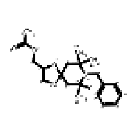 CC(=O)OCC1COC2(CC(C)(C)N(Cc3ccccc3)C(C)(C)C2)O1